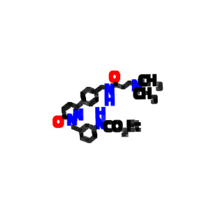 CCOC(=O)Nc1cccc(Cn2nc(-c3ccc(CNC(=O)CCN(C)C)cc3)ccc2=O)c1